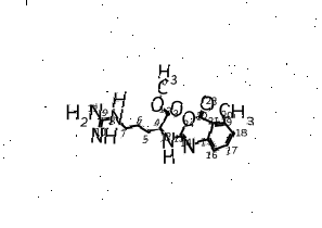 COC(=O)[C@H](CCCNC(=N)N)Nc1nc2cccc(C)c2c(=O)o1